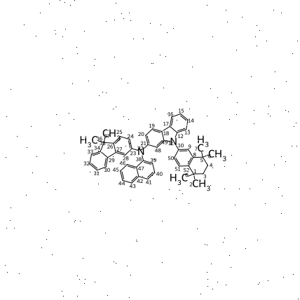 CC1(C)CCC(C)(C)c2cc(-n3c4ccccc4c4ccc(N(c5ccc6c(c5)-c5ccccc5C6(C)C)c5cccc6ccccc56)cc43)ccc21